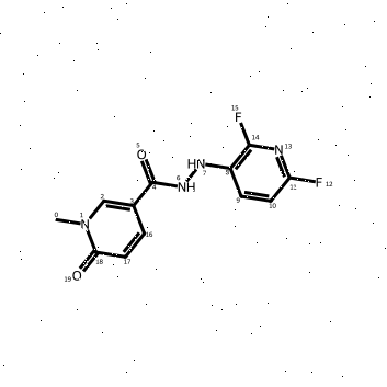 Cn1cc(C(=O)NNc2ccc(F)nc2F)ccc1=O